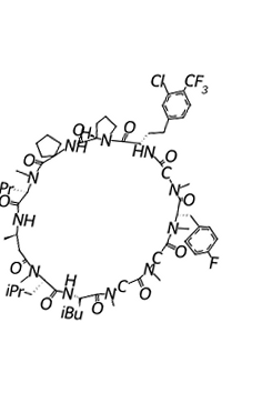 CC[C@H](C)[C@@H]1NC(=O)[C@H](CC(C)C)N(C)C(=O)C[C@@H](C)NC(=O)[C@H](C(C)C)N(C)C(=O)C2(CCCC2)NC(=O)[C@@H]2CCCN2C(=O)[C@H](CCc2ccc(C(F)(F)F)c(Cl)c2)NC(=O)CN(C)C(=O)[C@H](Cc2ccc(F)cc2)N(C)C(=O)CN(C)C(=O)CN(C)C1=O